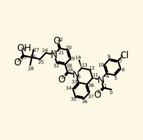 CC(=O)N(c1ccc(Cl)cc1)[C@@H]1C[C@H](C)N(C(=O)c2ccc(=O)n(CCC(C)(C)C(=O)O)c2)c2ccccc21